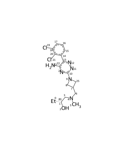 CC[C@@H](O)CN(C)CC1CN(c2nnc(-c3cccc(Cl)c3Cl)c(N)n2)C1